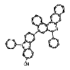 N#Cc1ccc2c3cc(-c4cc5c(-c6ccccc6)nc6cc7ccccc7cc6c5c5ccccc45)ccc3n(-c3ccccc3)c2c1